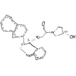 CNC[C@H](c1ccc2ccccc2c1)[C@H](OCC(=O)N1CC[C@H](O)C1)c1ccccc1